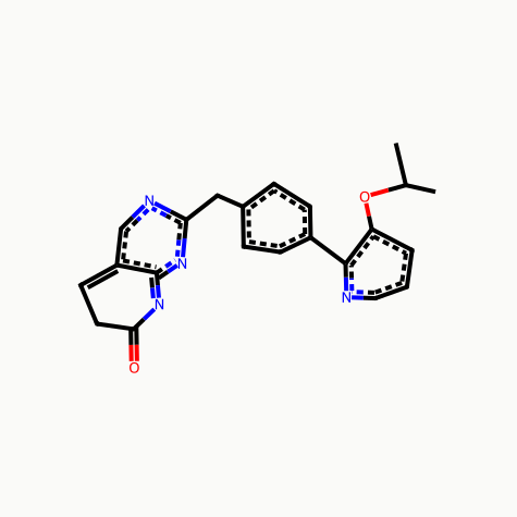 CC(C)Oc1cccnc1-c1ccc(Cc2ncc3c(n2)=NC(=O)CC=3)cc1